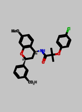 COc1ccc2c(c1)O[C@@H](c1cccc(C(=O)O)c1)C[C@H]2NC(=O)C(C)(C)Oc1ccc(Cl)cc1